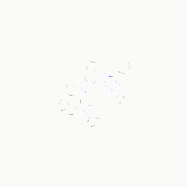 c1ccc(-c2nc(-c3ccccc3)nc(-c3cc(-n4c5ccccc5c5c6c7c8ccccc8ccc7n(-c7ccccc7)c6ccc54)cc4ccccc34)n2)cc1